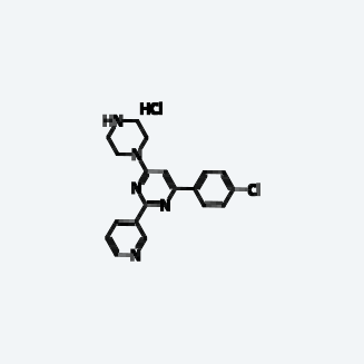 Cl.Clc1ccc(-c2cc(N3CCNCC3)nc(-c3cccnc3)n2)cc1